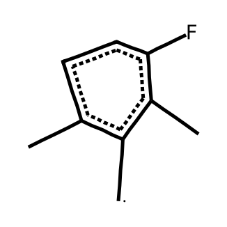 [CH2]c1c(C)ccc(F)c1C